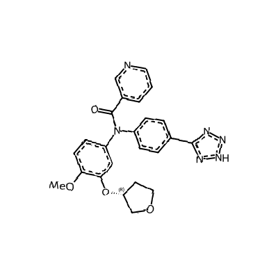 COc1ccc(N(C(=O)c2cccnc2)c2ccc(-c3nn[nH]n3)cc2)cc1O[C@@H]1CCOC1